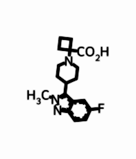 Cn1nc2ccc(F)cc2c1C1CCN(C2(C(=O)O)CCC2)CC1